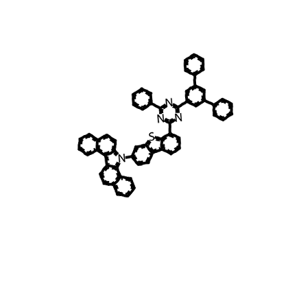 c1ccc(-c2cc(-c3ccccc3)cc(-c3nc(-c4ccccc4)nc(-c4cccc5c4sc4cc(-n6c7ccc8ccccc8c7c7ccc8ccccc8c76)ccc45)n3)c2)cc1